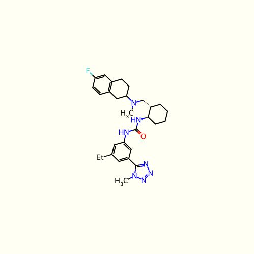 CCc1cc(NC(=O)N[C@@H]2CCCC[C@H]2CN(C)C2CCc3cc(F)ccc3C2)cc(-c2nnnn2C)c1